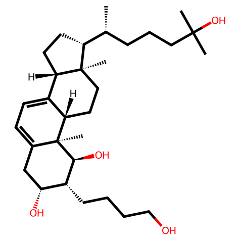 C[C@H](CCCC(C)(C)O)[C@H]1CC[C@H]2C3=CC=C4C[C@@H](O)[C@@H](CCCCO)[C@H](O)[C@]4(C)[C@H]3CC[C@]12C